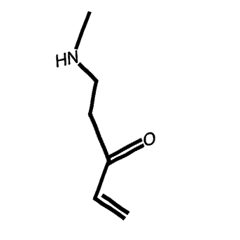 C=CC(=O)CCNC